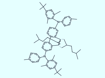 Cc1ccc(N(c2ccc3c(c2)[C@]24CC(CCC(C)C)C[C@]2(CC(CCC(C)C)C4)c2cc(N(c4ccc(C)cc4)c4c(C)cc(C(C)(C)C)cc4C)ccc2-3)c2c(C)cc(C(C)(C)C)cc2C)cc1